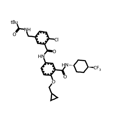 CC(C)(C)C(=O)NCc1ccc(Cl)c(C(=O)Nc2ccc(OCC3CC3)c(C(=O)N[C@H]3CC[C@H](C(F)(F)F)CC3)c2)c1